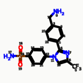 NCc1ccc(-c2nc(C(F)(F)F)cn2-c2ccc(S(N)(=O)=O)cc2)cc1